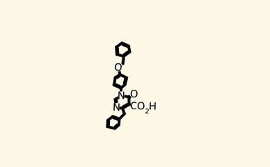 O=C(O)c1c(Cc2ccccc2)ncn(-c2ccc(OCc3ccccc3)cc2)c1=O